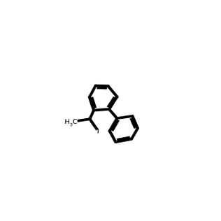 CC(I)c1ccccc1-c1ccccc1